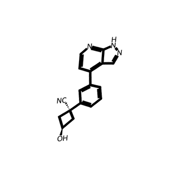 N#C[C@]1(c2cccc(-c3ccnc4[nH]ncc34)c2)C[C@@H](O)C1